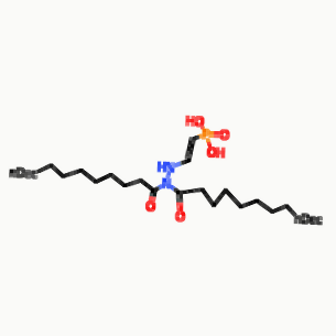 CCCCCCCCCCCCCCCCCC(=O)N(NC=CP(=O)(O)O)C(=O)CCCCCCCCCCCCCCCCC